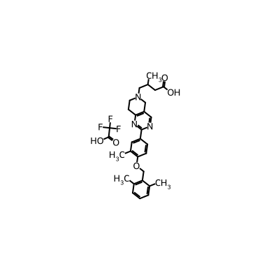 Cc1cc(-c2ncc3c(n2)CCN(CC(C)CC(=O)O)C3)ccc1OCc1c(C)cccc1C.O=C(O)C(F)(F)F